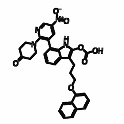 O=C1CCN(c2ncc([N+](=O)[O-])cc2-c2cccc3c(CCCOc4cccc5ccccc45)c(OC(=O)O)[nH]c23)CC1